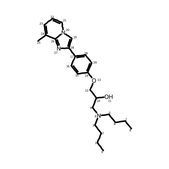 CCCCN(CCCC)CC(O)COc1ccc(-c2cn3cccc(C)c3n2)cc1